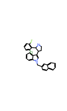 Fc1cccc(Cl)c1C1[N]CCC1c1cn(Cc2ccc3ccccc3c2)c2ccccc12